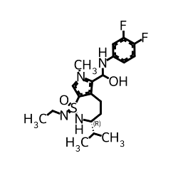 CCN=S1(=O)N[C@@H](C(C)C)CCc2c1cn(C)c2C(O)Nc1ccc(F)c(F)c1